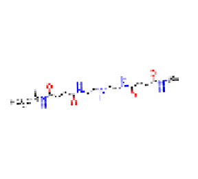 CC[C@H](C)NC(=O)CCC(=O)NCCNCCNC(=O)CCC(=O)N[C@@H](C)C(=O)O